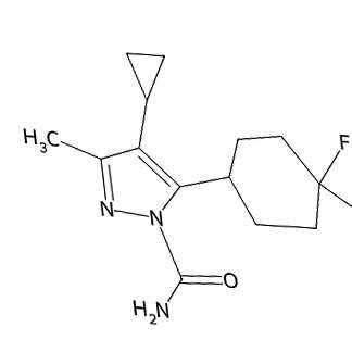 Cc1nn(C(N)=O)c(C2CCC(F)(F)CC2)c1C1CC1